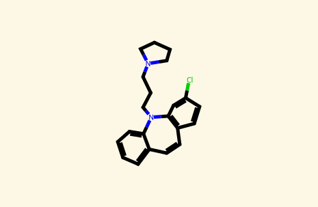 Clc1ccc2c(c1)N(CCCN1CCCC1)c1ccccc1C=C2